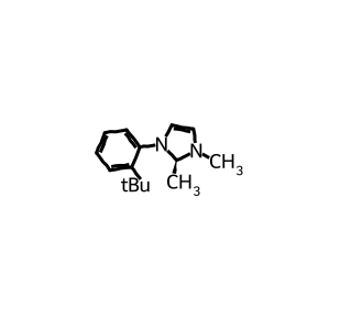 C[C@@H]1N(C)C=CN1c1ccccc1C(C)(C)C